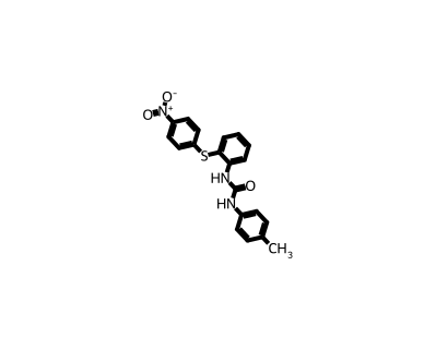 Cc1ccc(NC(=O)Nc2ccccc2Sc2ccc([N+](=O)[O-])cc2)cc1